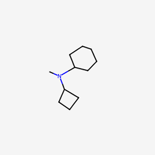 CN(C1CCCCC1)C1CCC1